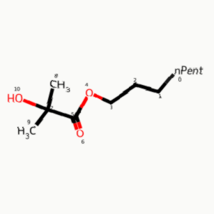 CCCCCCCCOC(=O)C(C)(C)O